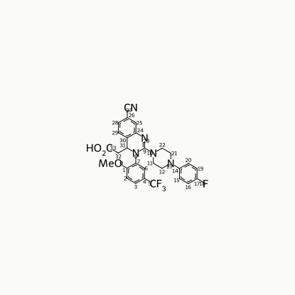 COc1ccc(C(F)(F)F)cc1N1C(N2CCN(c3ccc(F)cc3)CC2)=Nc2cc(C#N)ccc2C1CC(=O)O